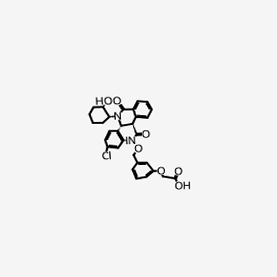 O=C(O)COc1cccc(CONC(=O)[C@@H]2c3ccccc3C(=O)N([C@H]3CCCC[C@@H]3O)[C@H]2c2ccc(Cl)cc2)c1